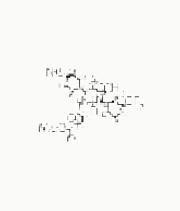 COC(=O)c1ccc(CN2C(=O)N(c3cccc(C(F)(F)F)c3)C(C)=C(C(C)=O)C2c2ccc(C#N)cc2)o1